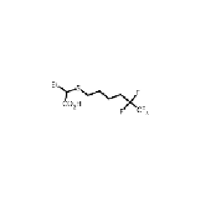 CCC(SCCCCC(F)(F)C(F)(F)F)C(=O)O